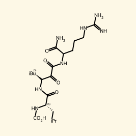 CC[C@H](C)C(NC(=O)[C@H](CC(C)C)NC(=O)O)C(=O)C(=O)NC(CCCNC(=N)N)C(N)=O